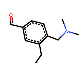 CCc1cc(C=O)ccc1CN(C)C